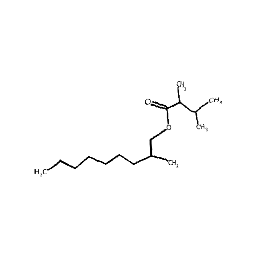 CCCCCCCC(C)COC(=O)C(C)C(C)C